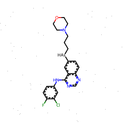 Fc1ccc(Nc2ncnc3ccc([AsH]CCCN4CCOCC4)cc23)cc1Cl